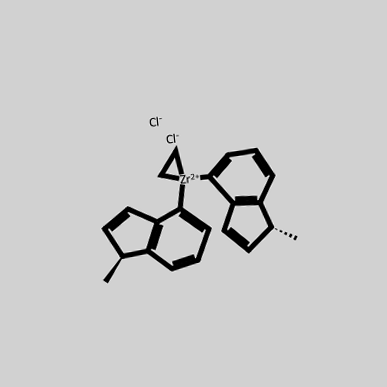 C[C@@H]1C=Cc2c1ccc[c]2[Zr+2]1([c]2cccc3c2C=C[C@@H]3C)[CH2][CH2]1.[Cl-].[Cl-]